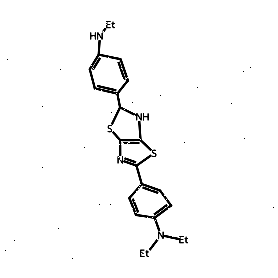 CCNc1ccc(C2Nc3sc(-c4ccc(N(CC)CC)cc4)nc3S2)cc1